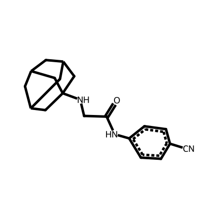 N#Cc1ccc(NC(=O)CNC23CC4CC(CC(C4)C2)C3)cc1